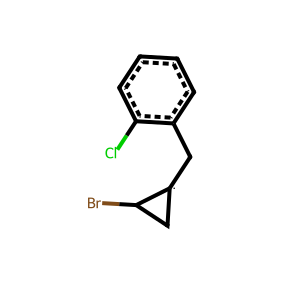 Clc1ccccc1C[C]1CC1Br